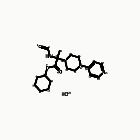 CC(NC=O)(C(=O)OC1CCCCC1)N1CCN(c2ccncc2)CC1.Cl